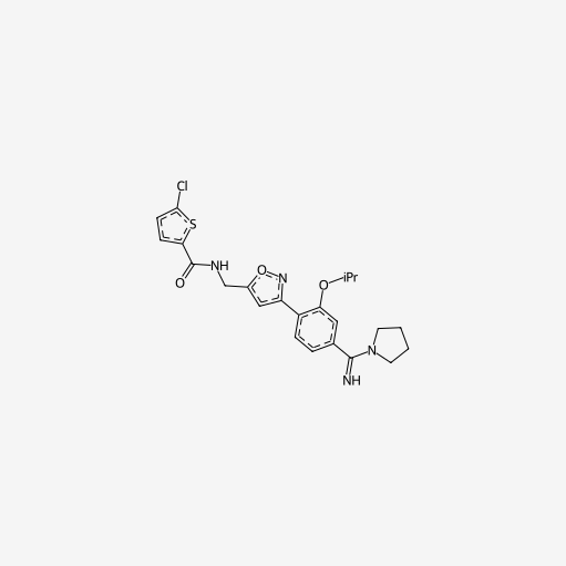 CC(C)Oc1cc(C(=N)N2CCCC2)ccc1-c1cc(CNC(=O)c2ccc(Cl)s2)on1